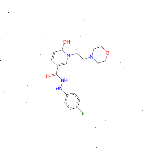 O=C(NNc1ccc(F)cc1)C1=CN(CCN2CCOCC2)C(O)C=C1